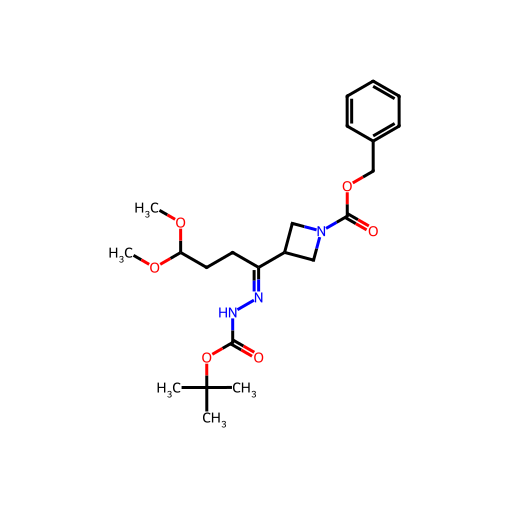 COC(CCC(=NNC(=O)OC(C)(C)C)C1CN(C(=O)OCc2ccccc2)C1)OC